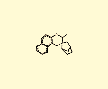 CC1Oc2ccc3ccccc3c2CC12CC1CCC2C1